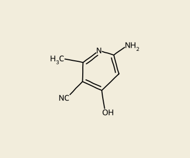 Cc1nc(N)cc(O)c1C#N